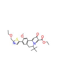 CCOCc1ncc(-c2cc3c(cc2OC)-c2cc(=O)c(C(=O)OCC)cn2C(C(C)(C)C)C3)s1